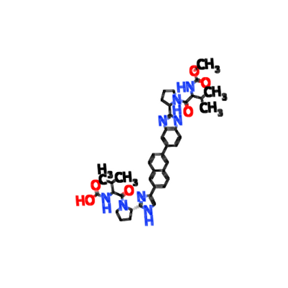 COC(=O)N[C@H](C(=O)N1CCCC1c1nc2cc(-c3ccc4cc(-c5c[nH]c([C@@H]6CCCN6C(=O)[C@@H](NC(=O)O)C(C)C)n5)ccc4c3)ccc2[nH]1)C(C)C